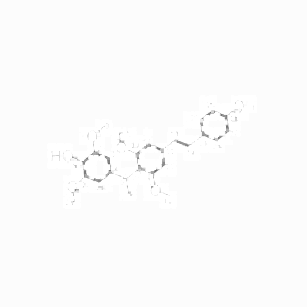 COc1cc(C(C)c2c(OC)cc(/C=C/c3ccc(O)cc3)cc2OC)cc(OC)c1O